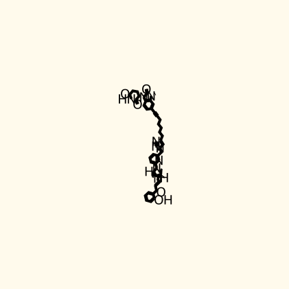 Cn1c(=O)n(C2CCC(=O)NC2=O)c2ccc(C#CCCCCCc3cn(Cc4cccc(N5C[C@H]6C[C@@H]5CN6/C=C/C(=O)c5ccccc5O)n4)nn3)cc21